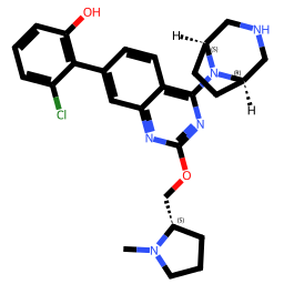 CN1CCC[C@H]1COc1nc(N2[C@@H]3CC[C@H]2CNC3)c2ccc(-c3c(O)cccc3Cl)cc2n1